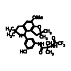 COc1cc2c(c3c1OC(C)(C)C3)C(c1cccc(NC(=O)C(C)(C)NC(=O)C(F)(F)F)c1)=NC(C)(C)C2.Cl